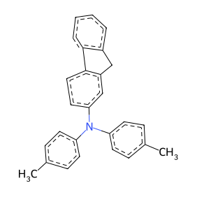 Cc1ccc(N(c2ccc(C)cc2)c2ccc3c(c2)Cc2ccccc2-3)cc1